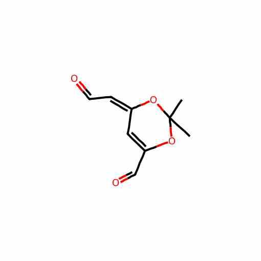 CC1(C)OC(C=O)=C/C(=C\C=O)O1